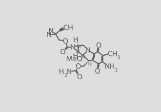 C#CC1(COC(=O)N2[C@H]3[C@@H]2CN2C4=C(C(=O)C(N)=C(C)C4=O)[C@@H](COC(N)=O)[C@@]32OC)N=N1